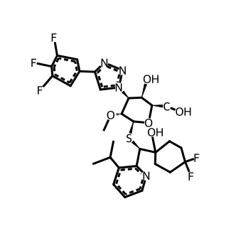 CO[C@@H]1[C@@H](n2cc(-c3cc(F)c(F)c(F)c3)nn2)[C@@H](O)[C@@H](CO)O[C@H]1S[C@H](c1ncccc1C(C)C)C1(O)CCC(F)(F)CC1